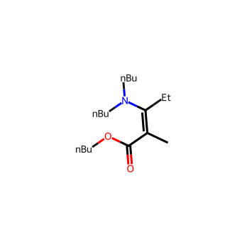 CCCCOC(=O)C(C)=C(CC)N(CCCC)CCCC